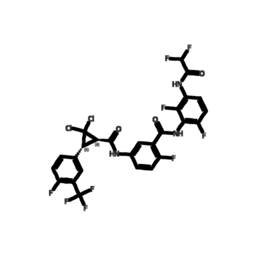 O=C(Nc1c(F)ccc(NC(=O)C(F)F)c1F)c1cc(NC(=O)[C@H]2[C@H](c3ccc(F)c(C(F)(F)F)c3)C2(Cl)Cl)ccc1F